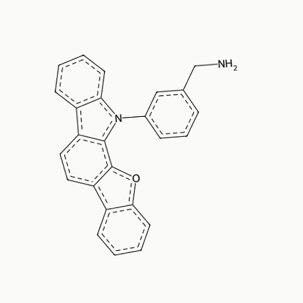 NCc1cccc(-n2c3ccccc3c3ccc4c5ccccc5oc4c32)c1